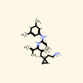 C=C(C)/C(=N/C(=C\C)NC1=CC(C)CC(C)=C1)C(=C)CC1(CCN)CC1